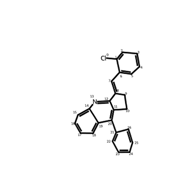 Clc1ccccc1C=C1CCc2c1nc1ccccc1c2-c1ccccc1